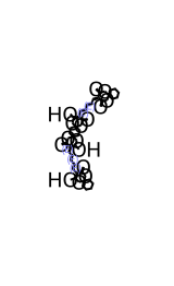 O=C1OC2(CCCCC2)OC(=O)C1=C/C=C/C=C/C1=C(O)OC2(CCC3(CC2)OC(=O)/C(=C/C=C/C=C/C2=C(O)OC4(CCCCC4)OC2=O)C(O)O3)OC1=O